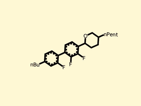 CCCCCC1CCC(c2ccc(-c3ccc(CCCC)cc3F)c(F)c2F)OC1